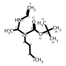 C=CNC(C)N(CCCC)C(=O)OC(C)(C)C